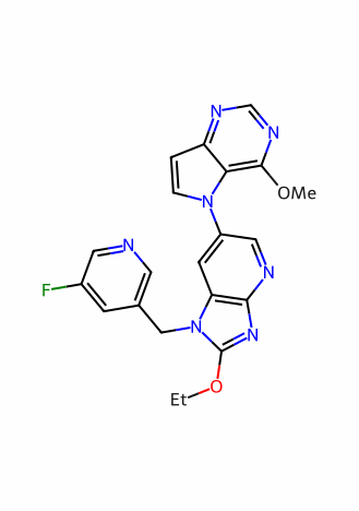 CCOc1nc2ncc(-n3ccc4ncnc(OC)c43)cc2n1Cc1cncc(F)c1